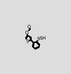 O=COc1csc(-c2ccccc2SS)c1